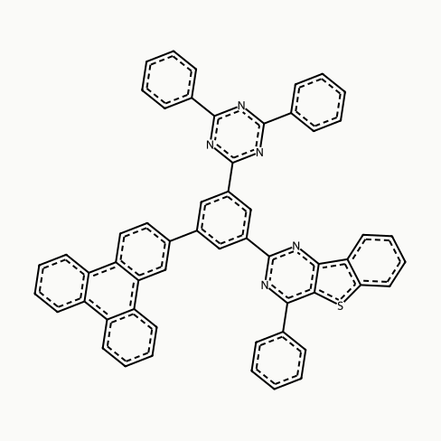 c1ccc(-c2nc(-c3ccccc3)nc(-c3cc(-c4ccc5c6ccccc6c6ccccc6c5c4)cc(-c4nc(-c5ccccc5)c5sc6ccccc6c5n4)c3)n2)cc1